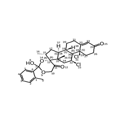 Cc1ccccc1C1(O)OCC(=O)[C@@]2(O1)[C@H](C)C[C@H]1[C@@H]3CCC4=CC(=O)CC[C@]4(C)[C@@]3(Cl)[C@@H](Cl)C[C@@]12C